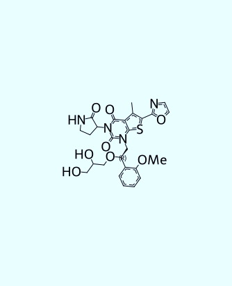 COc1ccccc1[C@H](Cn1c(=O)n(C2CCNC2=O)c(=O)c2c(C)c(-c3ncco3)sc21)OCC(O)CO